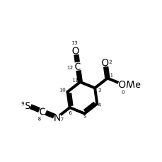 COC(=O)C1C=CC(N=C=S)=CC1=C=O